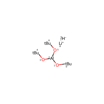 CC(C)(C)[O][Al]([O]C(C)(C)C)[O]C(C)(C)C.[2H-].[Li+]